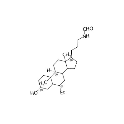 CC[C@H]1CC2C3CC[C@H](CCCNC=O)C3(C)CC[C@@H]2C2(C)CC[C@@H](O)CC12